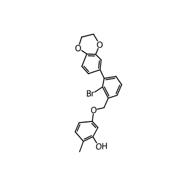 Cc1ccc(OCc2cccc(-c3ccc4c(c3)OCCO4)c2Br)cc1O